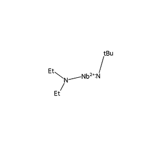 CC[N](CC)[Nb+2]=[N]C(C)(C)C